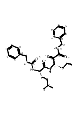 CCC[C@H](NC(=O)[C@H](CCC(C)C)NC(=O)OCc1ccccc1)C(=O)C(=O)NCc1ccccn1